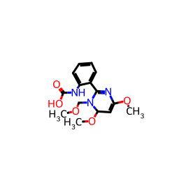 COCN1C(c2ccccc2NC(=O)O)=NC(OC)=CC1OC